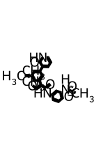 CC(C)(C)c1cc(-c2ccc[nH]c2=O)cc2c(C(=O)Nc3cccc(NS(C)(=O)=O)c3)coc12